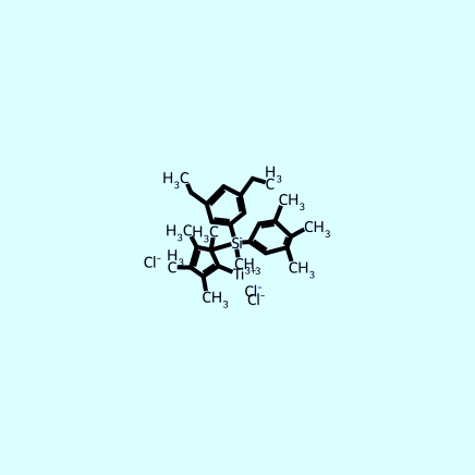 CCc1cc(CC)cc([Si](C)(c2cc(C)c(C)c(C)c2)C2(C)C(C)=C(C)C(C)=[C]2[Ti+3])c1.[Cl-].[Cl-].[Cl-]